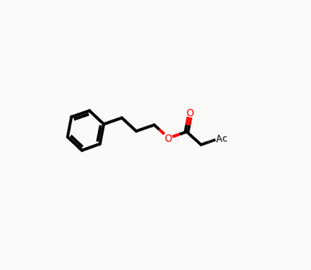 CC(=O)CC(=O)OCCCc1ccccc1